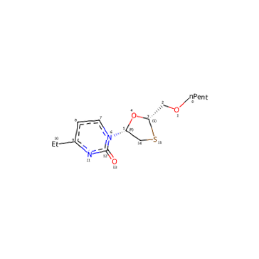 CCCCCOC[C@H]1O[C@@H](n2ccc(CC)nc2=O)CS1